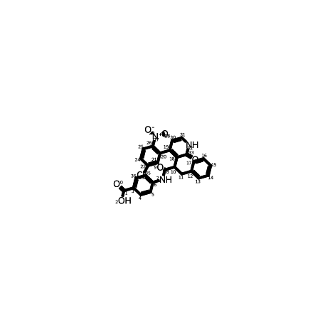 O=C(O)c1ccc(NC(=O)C(Cc2ccccc2)c2c(-c3cc(Cl)ccc3[N+](=O)[O-])cc[nH]c2=O)cc1